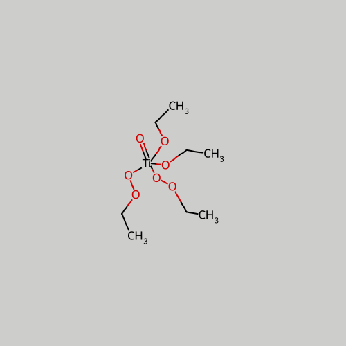 CCO[O][Ti](=[O])([O]CC)([O]CC)[O]OCC